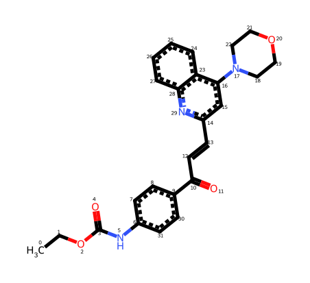 CCOC(=O)Nc1ccc(C(=O)/C=C/c2cc(N3CCOCC3)c3ccccc3n2)cc1